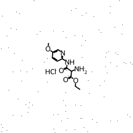 CCOC(=O)C(N)C(=O)Nc1ccc(OC)cn1.Cl